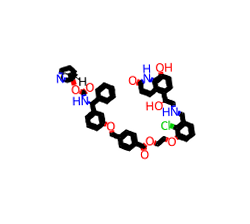 O=C(N[C@@H](c1ccccc1)c1cccc(OCc2ccc(C(=O)OCCOc3cccc(CNC[C@H](O)c4ccc(O)c5[nH]c(=O)ccc45)c3Cl)cc2)c1)O[C@H]1CN2CCC1CC2